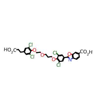 O=C(O)CCc1cc(Cl)c(OCCOCCCOc2c(Cl)cc(-c3nc4ccc(C(=O)O)cc4o3)cc2Cl)c(Cl)c1